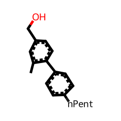 CCCCCc1ccc(-c2ccc(CO)cc2C)cc1